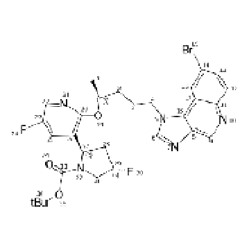 C[C@@H](CCCn1cnc2cnc3ccc(Br)cc3c21)Oc1ncc(F)cc1[C@H]1C[C@H](F)CN1C(=O)OC(C)(C)C